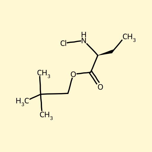 CC[C@H](NCl)C(=O)OCC(C)(C)C